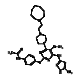 COc1c(Nc2cc(C)[nH]n2)nc(Sc2ccc(NC(C)=O)cc2)nc1N1CCN(CCN2CCCCCCC2)CC1